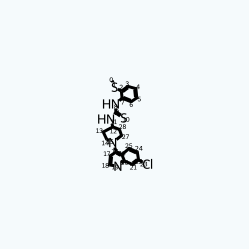 CSc1ccccc1NC(=S)NC1CCN(c2ccnc3cc(Cl)ccc23)CC1